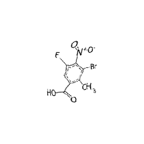 Cc1c(C(=O)O)cc(F)c([N+](=O)[O-])c1Br